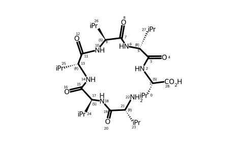 CC(C)[C@H](NC(=O)[C@H](NC(=O)[C@@H](NC(=O)[C@H](NC(=O)[C@@H](NC(=O)[C@H](N)C(C)C)C(C)C)C(C)C)C(C)C)C(C)C)C(=O)O